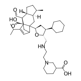 CC(C)C1=CC2CC3(C=O)[C@@H]4CC[C@@H](C)[C@H]4CC2([C@H]2C[C@@H](C4CCCCC4)[C@H](CNCCN4CCCC(C(=O)O)C4)O2)[C@]13C(=O)O